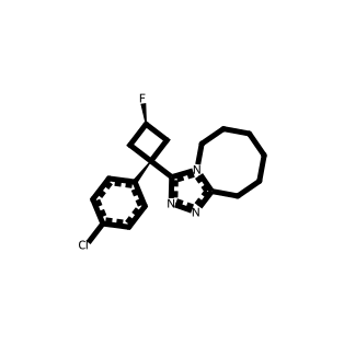 F[C@H]1C[C@](c2ccc(Cl)cc2)(c2nnc3n2CCCCCC3)C1